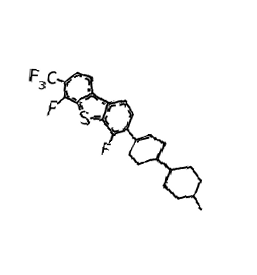 CC1CCC(C2CC=C(c3ccc4c(sc5c(F)c(C(F)(F)F)ccc54)c3F)CC2)CC1